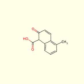 Cc1cccc2c1C=CC(=O)C2C(=O)O